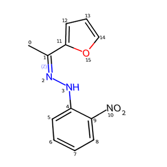 C/C(=N/Nc1ccccc1[N+](=O)[O-])c1ccco1